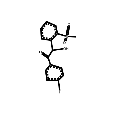 CS(=O)(=O)c1ccccc1C(O)C(=O)c1ccc(F)cc1